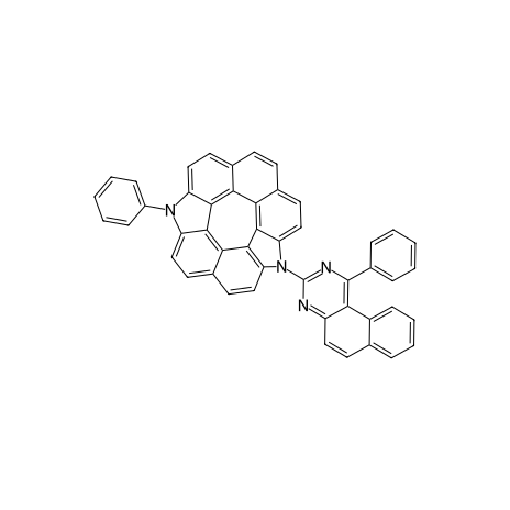 c1ccc(-c2nc(-n3c4ccc5ccc6ccc7c8c6c5c4c4c5c(ccc(c58)n7-c5ccccc5)ccc43)nc3ccc4ccccc4c23)cc1